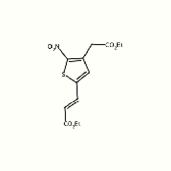 CCOC(=O)C=Cc1cc(CC(=O)OCC)c([N+](=O)[O-])s1